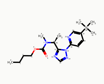 CCCCOC(=O)N(C)[C@@H](C)c1ncnn1-c1ccc([Si](C)(C)C)cn1